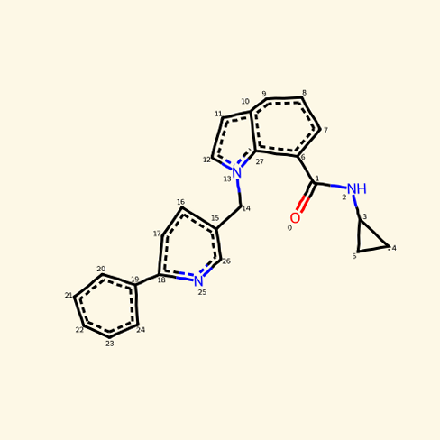 O=C(NC1[CH]C1)c1cccc2ccn(Cc3ccc(-c4ccccc4)nc3)c12